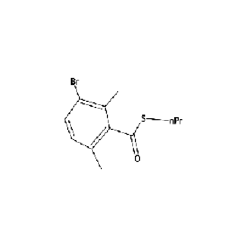 CCCSC(=O)c1c(C)ccc(Br)c1C